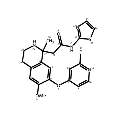 COc1cc2c(cc1Oc1ccnc(F)c1)C(C)(CC(=O)Nc1nccs1)NCC2